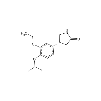 CCOc1cc([C@@H]2CNC(=O)C2)ccc1OC(F)F